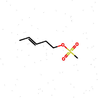 C/C=C/CCOS(C)(=O)=O